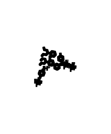 CCCC(CCC)c1ccccc1[I+]c1ccccc1C(CCC)CCC.Cc1ccc([I+]c2ccccc2)cc1.Cc1ccc([IH+])cc1.F[B-](F)(F)F.F[B-](F)(F)F.F[B-](F)(F)F